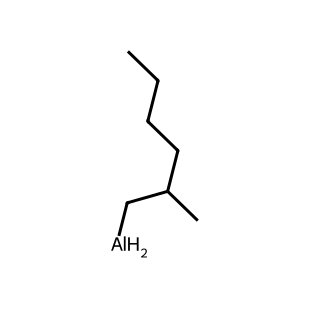 CCCCC(C)[CH2][AlH2]